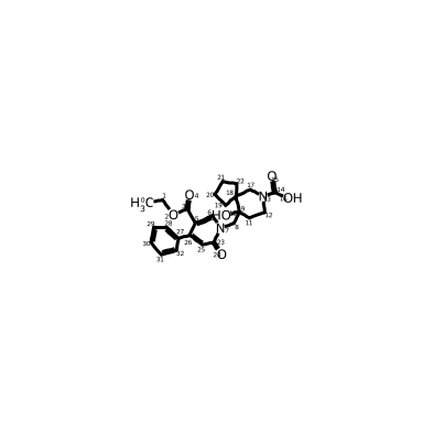 CCOC(=O)c1cn(CC2(O)CCN(C(=O)O)CC23CCCC3)c(=O)cc1-c1ccccc1